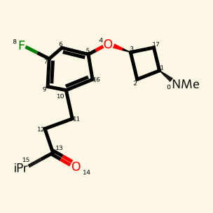 CN[C@H]1C[C@@H](Oc2cc(F)cc(CCC(=O)C(C)C)c2)C1